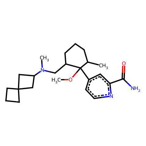 COC1(c2ccnc(C(N)=O)c2)C(C)CCCC1CN(C)C1CC2(CCC2)C1